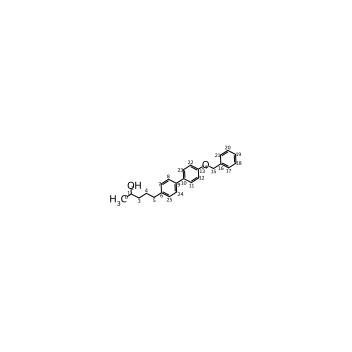 CC(O)CCCc1ccc(-c2ccc(OCc3ccccc3)cc2)cc1